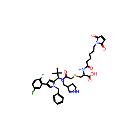 CC(C)(C)C(c1cc(-c2cc(F)ccc2F)cn1Cc1ccccc1)N(CC1CCNC1)C(=O)CSCC(NC(=O)CCCCCN1C(=O)C=CC1=O)C(=O)O